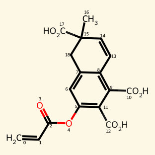 C=CC(=O)Oc1cc2c(c(C(=O)O)c1C(=O)O)C=CC(C)(C(=O)O)C2